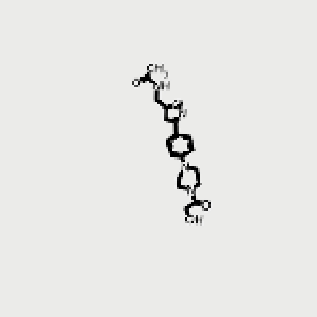 CC(=O)NCC1CC(c2ccc(N3CCN(C(=O)CO)CC3)cc2)=NO1